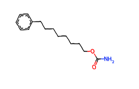 NC(=O)OCCCCCCCCc1ccccc1